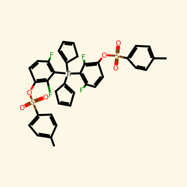 Cc1ccc(S(=O)(=O)Oc2ccc(F)[c]([Ti]([C]3=CC=CC3)([C]3=CC=CC3)[c]3c(F)ccc(OS(=O)(=O)c4ccc(C)cc4)c3F)c2F)cc1